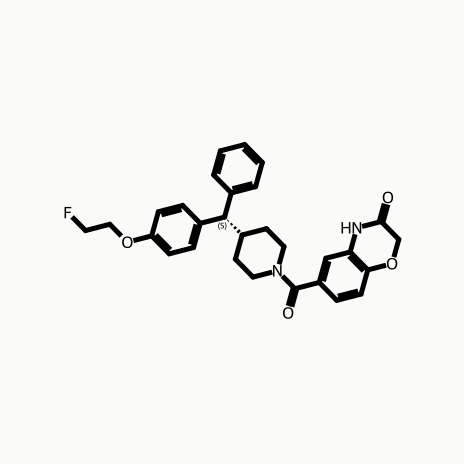 O=C1COc2ccc(C(=O)N3CCC([C@@H](c4ccccc4)c4ccc(OCCF)cc4)CC3)cc2N1